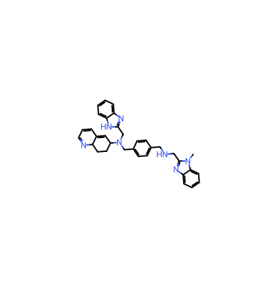 Cn1c(CNCc2ccc(CN(Cc3nc4ccccc4[nH]3)C3C=C4C=CC=NC4CC3)cc2)nc2ccccc21